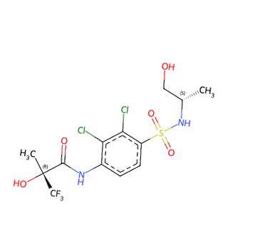 C[C@@H](CO)NS(=O)(=O)c1ccc(NC(=O)[C@@](C)(O)C(F)(F)F)c(Cl)c1Cl